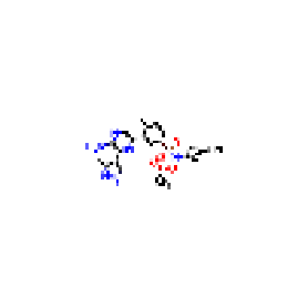 Cc1ccc(S(=O)(=O)N(OC(=O)C(F)(F)F)C23CC(C#N)(C2)C3)cc1-c1cnc(N)c(-c2cn(C)nc2C)n1